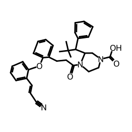 CC(C)(C)C(c1ccccc1)C1CN(C(=O)O)CCN1C(=O)CCc1ccccc1Oc1ccccc1C=CC#N